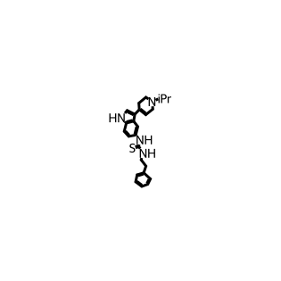 CC(C)N1CC=C(c2c[nH]c3ccc(NC(=S)NCCc4ccccc4)cc23)CC1